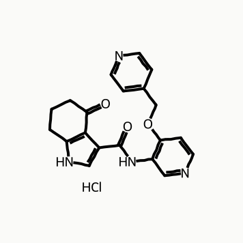 Cl.O=C(Nc1cnccc1OCc1ccncc1)c1c[nH]c2c1C(=O)CCC2